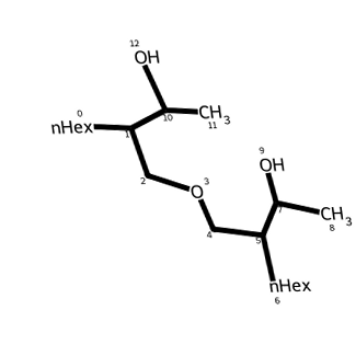 CCCCCCC(COCC(CCCCCC)C(C)O)C(C)O